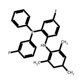 CC1=CC(C)CC(C)=C1Nc1ccc(F)cc1P(c1ccccc1)c1cccc(F)c1